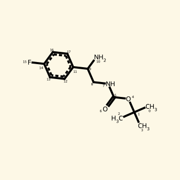 CC(C)(C)OC(=O)NCC(N)c1ccc(F)cc1